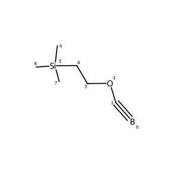 B#COCC[Si](C)(C)C